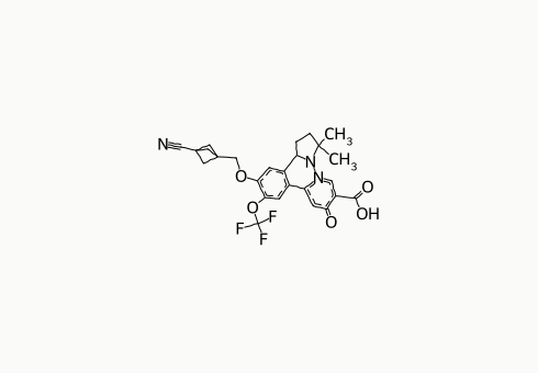 CC1(C)CCC2c3cc(OCC45CC(C#N)(C4)C5)c(OC(F)(F)F)cc3-c3cc(=O)c(C(=O)O)cn3N21